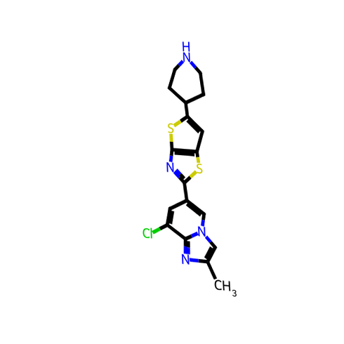 Cc1cn2cc(-c3nc4sc(C5CCNCC5)cc4s3)cc(Cl)c2n1